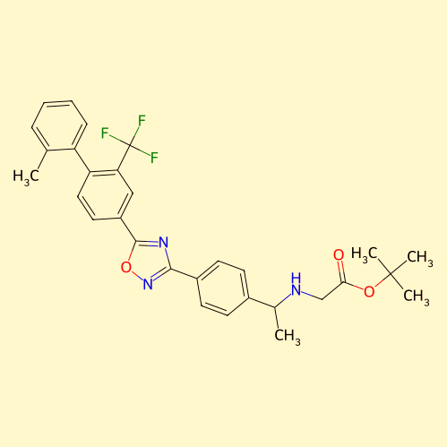 Cc1ccccc1-c1ccc(-c2nc(-c3ccc(C(C)NCC(=O)OC(C)(C)C)cc3)no2)cc1C(F)(F)F